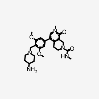 CNC(=O)N1CCc2c(-c3cc(OC)c(CN4CCC(N)CC4)c(OC)c3)cn(C)c(=O)c2C1